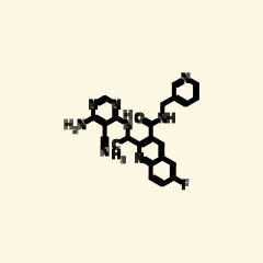 CC(Nc1ncnc(N)c1C#N)c1nc2ccc(F)cc2cc1C(=O)NCc1cccnc1